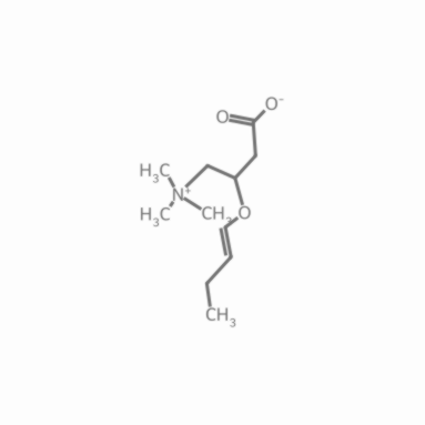 CCC=COC(CC(=O)[O-])C[N+](C)(C)C